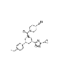 CCc1ccc(C2CC(c3nc(C4CC4)no3)CN(C(=O)N3CCC(C#N)CC3)C2)cc1